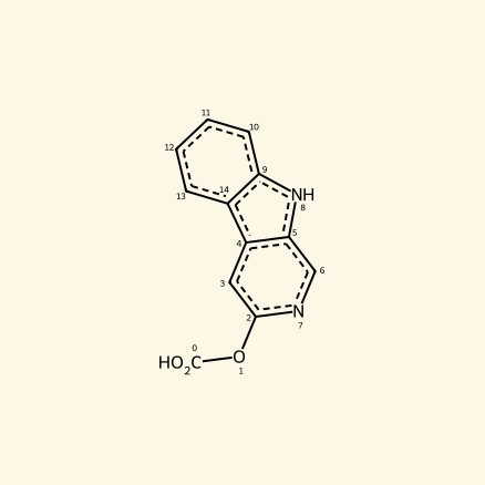 O=C(O)Oc1cc2c(cn1)[nH]c1ccccc12